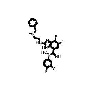 CN(CCNc1nc2c(F)c(F)cc(C(=N)N(O)c3ccc(F)c(Cl)c3)c2[nH]1)Cc1ccccc1